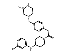 C=C(Cc1ccc(CN2CCN[C@@H](C)C2)cc1)N1CCC(Nc2cccc(F)c2)CC1